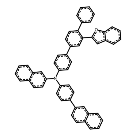 c1ccc(-c2ccc(-c3ccc(N(c4ccc(-c5ccc6ccccc6c5)cc4)c4ccc5ccccc5c4)cc3)cc2-c2cc3ccccc3o2)cc1